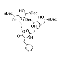 CCCCCCCCCCC(O)CN(CCCOC(=O)[C@H](Cc1ccccc1)NC(=O)CCCN(CC(O)CCCCCCCCCC)CC(O)CCCCCCCCCC)CC(O)CCCCCCCCCC